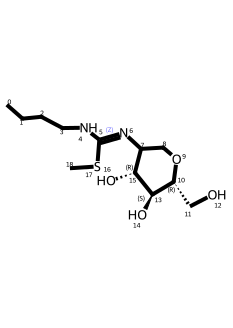 CCCCN/C(=N/C1CO[C@H](CO)[C@@H](O)[C@@H]1O)SC